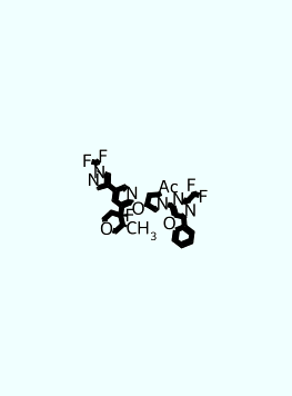 CC(=O)[C@@H]1C[C@H](Oc2ncc(-c3cnn(C(F)F)c3)cc2[C@@]2(F)CCOC[C@@H]2C)CN1c1nc(C(F)F)nc2c1oc1ccccc12